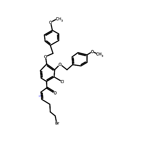 COc1ccc(COc2ccc(C(=O)/C=C\CCCBr)c(Cl)c2OCc2ccc(OC)cc2)cc1